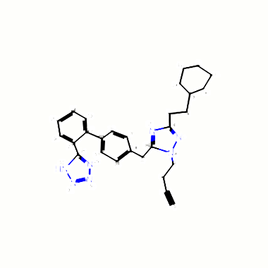 C#CCCn1nc(CCC2CCCCC2)nc1Cc1ccc(-c2ccccc2-c2nnn[nH]2)cc1